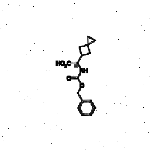 O=C(N[C@H](C(=O)O)C1CC2(CC2)C1)OCc1ccccc1